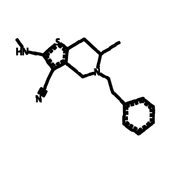 CNc1sc2c(c1C#N)CN(CCc1ccccc1)C(C)C2